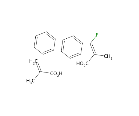 C=C(C)C(=O)O.CC(=CF)C(=O)O.c1ccccc1.c1ccccc1